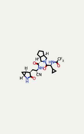 N#C[C@H](C[C@H]1C(=O)N[C@H]2C[C@H]21)NC(=O)[C@@H]1[C@H]2CCC[C@H]2CN1C(=O)[C@@H](NC(=O)C(F)(F)F)C1CC1